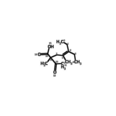 CCC(CC)=C(C)CC(C)(C(C)=O)C(=O)O